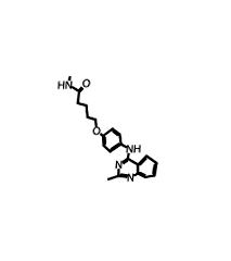 CNC(=O)CCCCOc1ccc(Nc2nc(C)nc3ccccc23)cc1